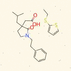 CC(C)CC1(CC(=O)O)CCN(CCc2ccccc2)C1=O.CCSc1cccs1